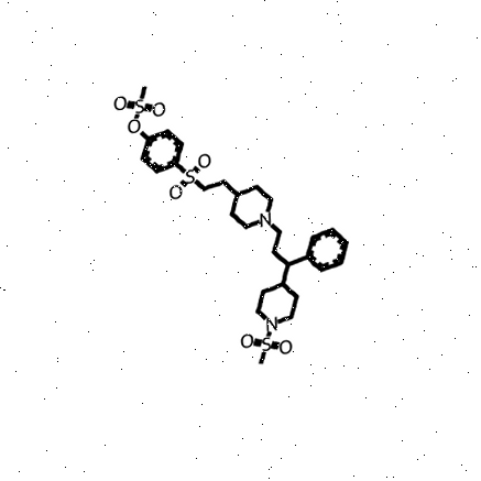 CS(=O)(=O)Oc1ccc(S(=O)(=O)CCC2CCN(CCC(c3ccccc3)C3CCN(S(C)(=O)=O)CC3)CC2)cc1